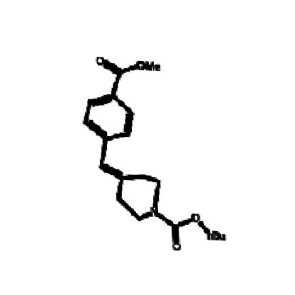 CCCCOC(=O)N1CCC(=Cc2ccc(C(=O)OC)cc2)CC1